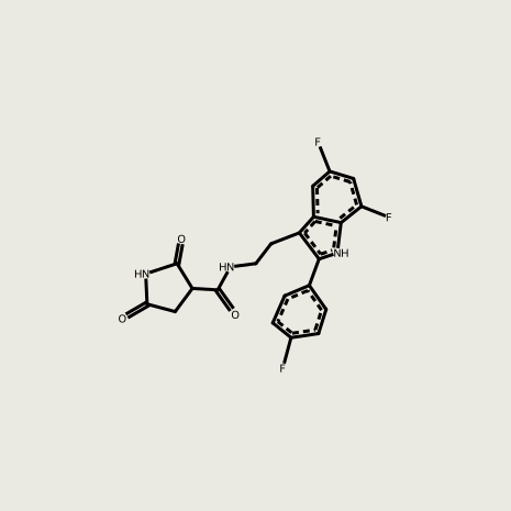 O=C1CC(C(=O)NCCc2c(-c3ccc(F)cc3)[nH]c3c(F)cc(F)cc23)C(=O)N1